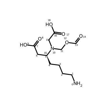 NCCCC[C@@H](CC(=O)O)N(COC=O)CC(=O)O